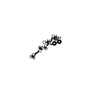 CCCCc1nc(Cl)c(COC(=O)NCC(=O)OCCCCO[N+](=O)[O-])n1Cc1ccc(-c2ccccc2-c2nnn[nH]2)cc1